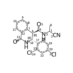 CC(C#N)NC(=O)[C@@H]1c2ccccc2C(=O)N[C@H]1c1ccc(Cl)cc1Cl